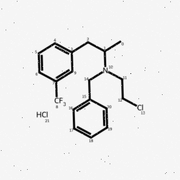 CC(Cc1cccc(C(F)(F)F)c1)N(CCCl)Cc1ccccc1.Cl